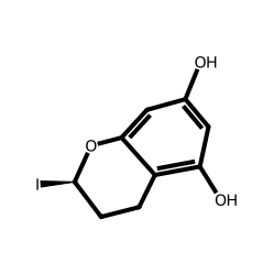 Oc1cc(O)c2c(c1)O[C@H](I)CC2